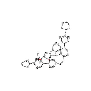 FC(F)(F)c1cc2n(n1)C1(c3cc(-c4cnc(-c5ccccc5)nc4)ccc3C=Cc3ccc(-c4cnc(-c5ccccc5)nc4)cc31)c1ccccc1-2